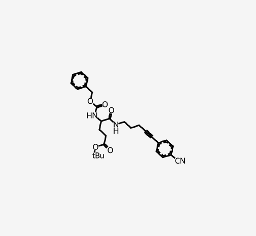 CC(C)(C)OC(=O)CCC(NC(=O)OCc1ccccc1)C(=O)NCCCC#Cc1ccc(C#N)cc1